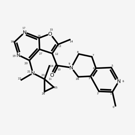 Cc1cc2c(cn1)CCN(C(=O)c1c(C)oc3ncnc(N(C)C4(C)CC4)c13)C2